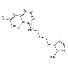 O=[N+]([O-])c1nccn1CCCCNc1ccnc2cc(Cl)ccc12